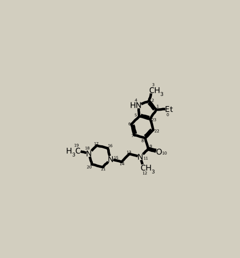 CCc1c(C)[nH]c2ccc(C(=O)N(C)CCN3CCN(C)CC3)cc12